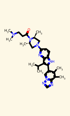 Cc1c(-c2[nH]c3ccc(N4C[C@H](C)N(C(=O)CCN(C)C)[C@@H](C)C4)nc3c2C(C)C)cn2ncnc2c1C